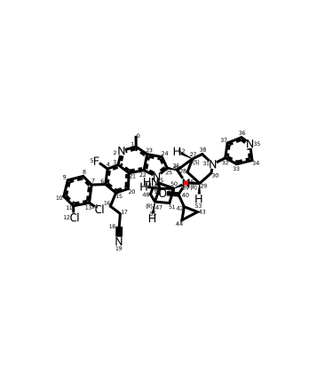 Cc1nc2c(F)c(-c3cccc(Cl)c3Cl)c(CCC#N)cc2c2c1cc([C@H]1[C@H]3C[C@H](CN(c4ccncc4)C3)N1C(=O)C1CC1)n2[C@H]1[C@H]2CN[C@@H]1C2